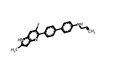 C=CCNc1ccc(-c2ccc(-c3nc4cc(C)[nH]c4cc3F)cc2)cc1